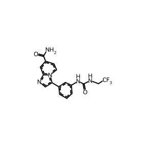 NC(=O)c1ccn2c(-c3cccc(NC(=O)NCC(F)(F)F)c3)cnc2c1